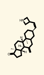 C=C1CC2C[C@H](/C=C\C3CNC3)CC[C@]2(C)[C@H]2CC[C@]3(C)C(=O)CC[C@H]3[C@H]12